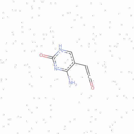 Nc1nc(=O)[nH]cc1C=C=O